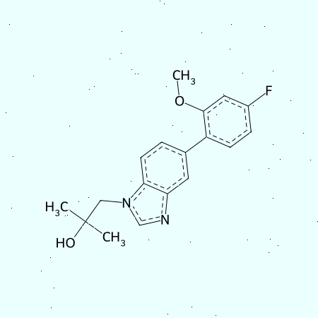 COc1cc(F)ccc1-c1ccc2c(c1)ncn2CC(C)(C)O